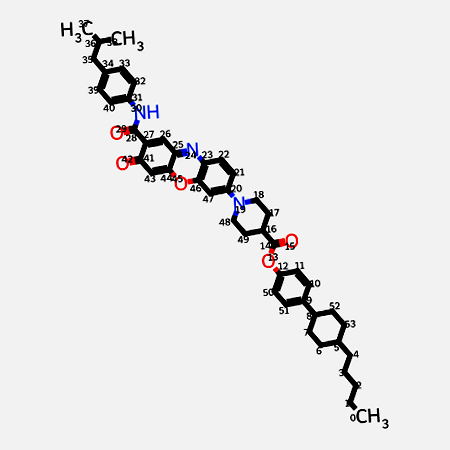 CCCCCC1CCC(c2ccc(OC(=O)C3CCN(c4ccc5nc6cc(C(=O)Nc7ccc(CC(C)C)cc7)c(=O)cc-6oc5c4)CC3)cc2)CC1